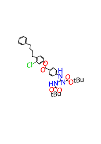 CC(C)(C)OC(=O)/N=C(/NC(=O)OC(C)(C)C)Nc1ccc(C(=O)Oc2ccc(CCCCc3ccccc3)c(Cl)c2)cc1